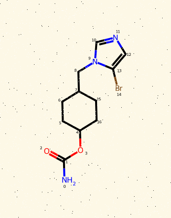 NC(=O)OC1CCC(Cn2cncc2Br)CC1